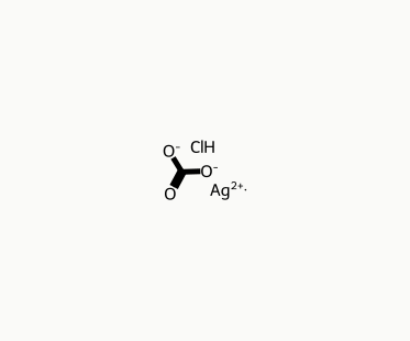 Cl.O=C([O-])[O-].[Ag+2]